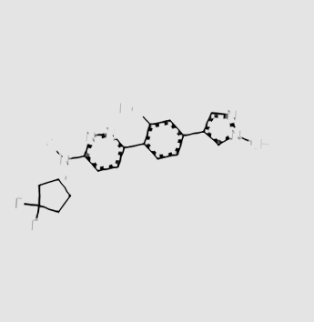 CN(c1ccc(-c2ccc(-c3cnn(C)c3)cc2O)nn1)[C@@H]1CCC(F)(F)C1